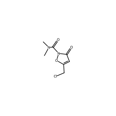 CN(C)C(=O)n1oc(CCl)cc1=O